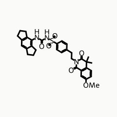 COc1ccc2c(c1)C(=O)N(CCc1ccc(S(=O)(=O)NC(=O)Nc3c4c(cc5c3CCC5)CCC4)cc1)C(=O)C2(C)C